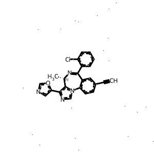 C#Cc1ccc2c(c1)C(c1ccccc1Cl)=N[C@@H](C)c1c(-c3cnco3)ncn1-2